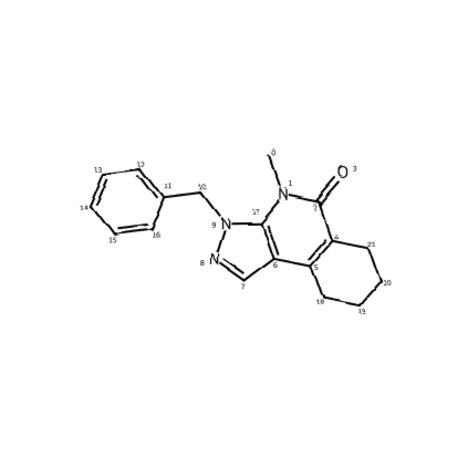 Cn1c(=O)c2c(c3cnn(Cc4ccccc4)c31)CCCC2